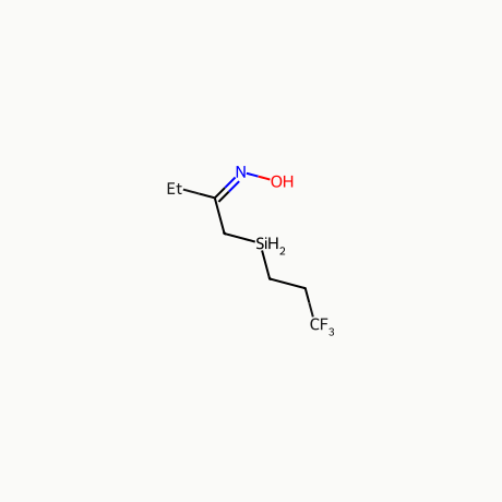 CCC(C[SiH2]CCC(F)(F)F)=NO